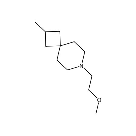 COCCN1CCC2(CC1)CC(C)C2